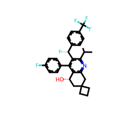 CC(C)c1nc2c(c(-c3ccc(F)cc3)c1[C@H](F)c1ccc(C(F)(F)F)cc1)[C@@H](O)CC1(CCC1)C2